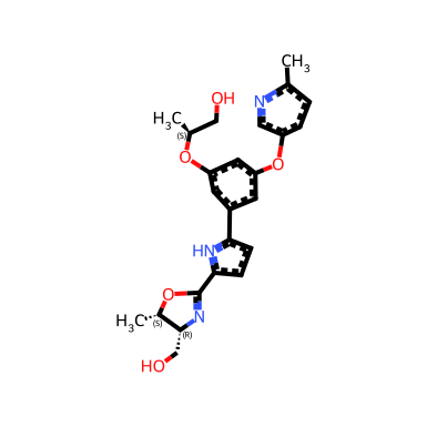 Cc1ccc(Oc2cc(O[C@@H](C)CO)cc(-c3ccc(C4=N[C@H](CO)[C@H](C)O4)[nH]3)c2)cn1